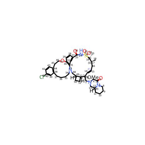 CO[C@@]1(CN2CC(=O)N3CCCC[C@@H]3C2)/C=C/C[C@H](C)[C@@H](C)S(=O)(=O)NC(=O)c2ccc3c(c2)N(CCCCc2cc(Cl)ccc2CCO3)C[C@@H]2CC[C@H]21